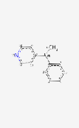 C[C@H](c1ccccc1)c1ccncc1